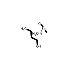 CCCCO.O.O.[Cl][Cu][Cl]